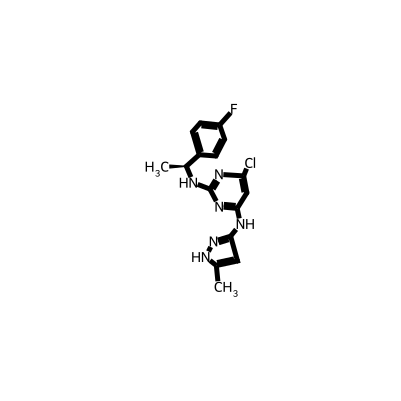 Cc1cc(Nc2cc(Cl)nc(N[C@@H](C)c3ccc(F)cc3)n2)n[nH]1